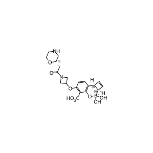 O=C(O)c1c(OC2CN(C(=O)C[C@H]3CNCCO3)C2)ccc2c1O[B-](O)(O)[C@@H]1C=C[C@H]21